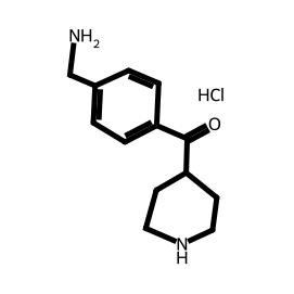 Cl.NCc1ccc(C(=O)C2CCNCC2)cc1